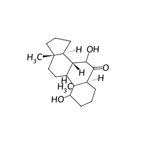 C[C@@]12CCC[C@H]1[C@@H]1C(O)C(=O)[C@H]3CCCC(O)[C@]3(C)[C@H]1CC2